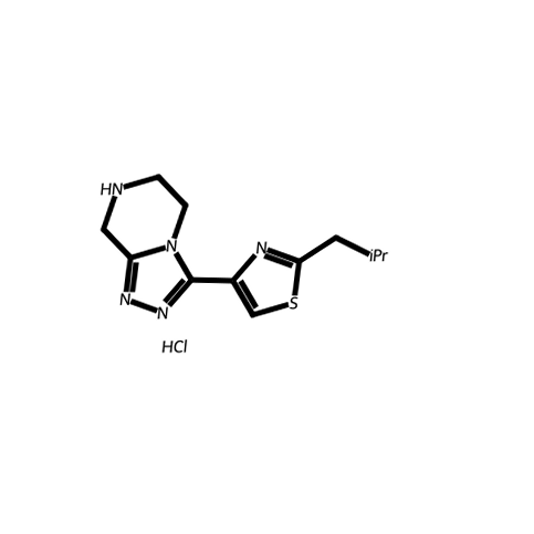 CC(C)Cc1nc(-c2nnc3n2CCNC3)cs1.Cl